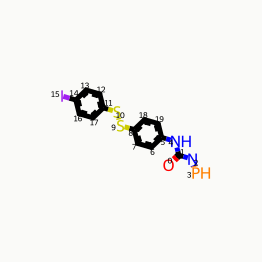 O=C(N=P)Nc1ccc(SSc2ccc(I)cc2)cc1